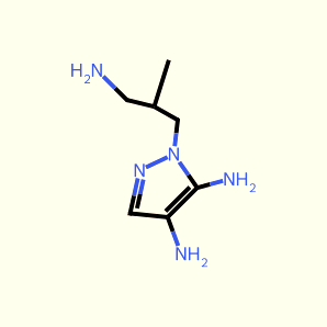 CC(CN)Cn1ncc(N)c1N